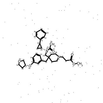 COC(=O)CCN1CCC(Cc2cccc(O[C@@H]3CCOC3)c2)(CN(C(C)=O)[C@@H]2CC2c2ccccc2)CC1